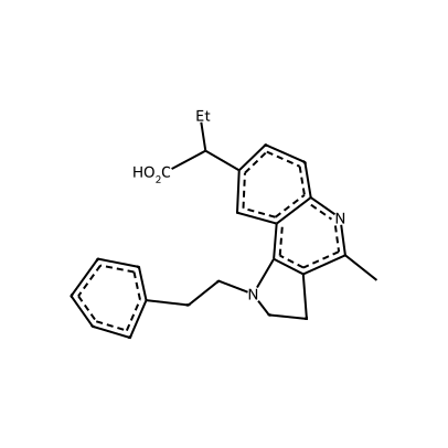 CCC(C(=O)O)c1ccc2nc(C)c3c(c2c1)N(CCc1ccccc1)CC3